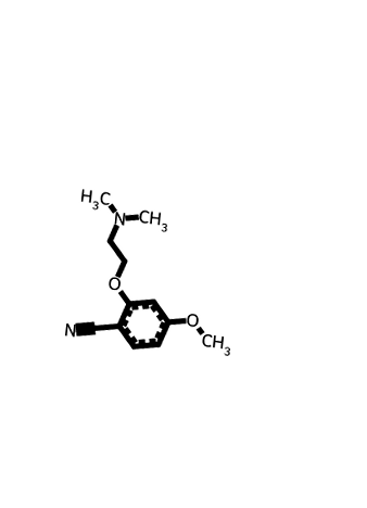 COc1ccc(C#N)c(OCCN(C)C)c1